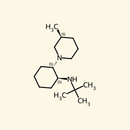 C[C@H]1CCCN([C@H]2CCCC[C@@H]2NC(C)(C)C)C1